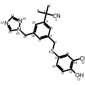 CC(C)(C#N)c1cc(CSc2ccc(O)c(Cl)c2)cc(Cn2cncn2)c1